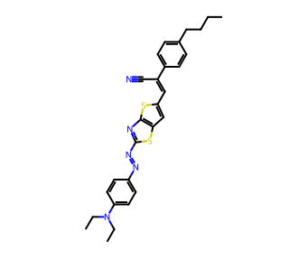 CCCCc1ccc(/C(C#N)=C/c2cc3sc(/N=N/c4ccc(N(CC)CC)cc4)nc3s2)cc1